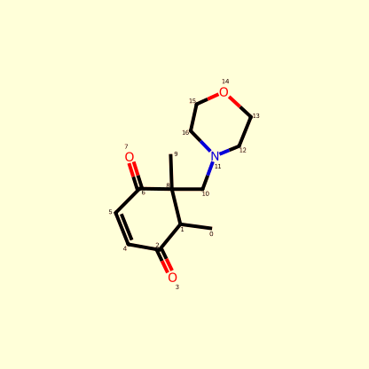 CC1C(=O)C=CC(=O)C1(C)CN1CCOCC1